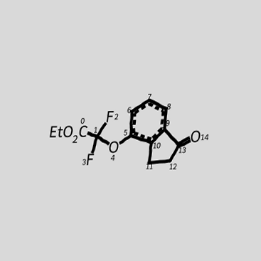 CCOC(=O)C(F)(F)Oc1cccc2c1CCC2=O